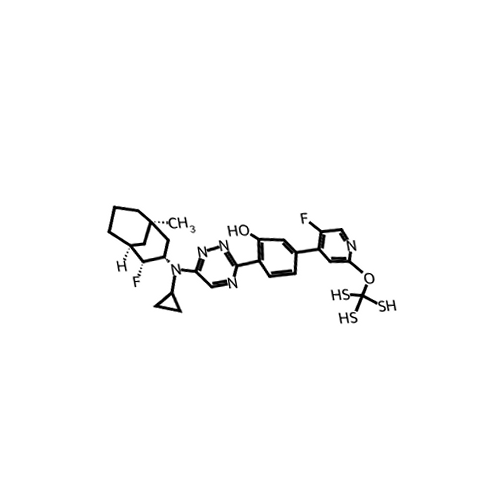 C[C@@]12CCC[C@@H](C1)[C@@H](F)[C@@H](N(c1cnc(-c3ccc(-c4cc(OC(S)(S)S)ncc4F)cc3O)nn1)C1CC1)C2